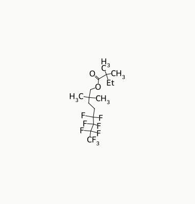 CCC(C)(C)C(=O)OCC(C)(C)CCC(F)(F)C(F)(F)C(F)(F)C(F)(F)F